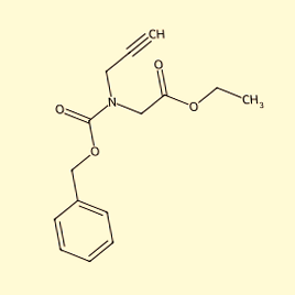 C#CCN(CC(=O)OCC)C(=O)OCc1ccccc1